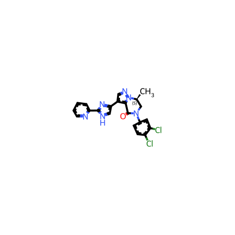 C[C@H]1CN(c2ccc(Cl)c(Cl)c2)C(=O)c2c(-c3c[nH]c(-c4ccccn4)n3)cnn21